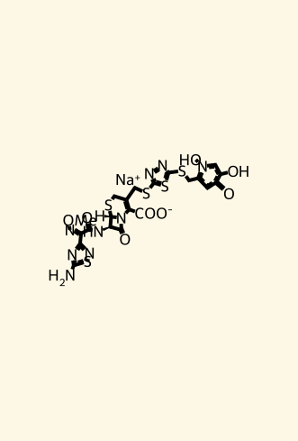 CO/N=C(\C(=O)N[C@@H]1C(=O)N2C(C(=O)[O-])=C(CSc3nnc(SCc4cc(=O)c(O)cn4O)s3)CS[C@@H]12)c1nsc(N)n1.[Na+]